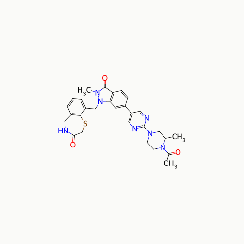 CC(=O)N1CCN(c2ncc(-c3ccc4c(=O)n(C)n(Cc5cccc6c5SCC(=O)NC6)c4c3)cn2)CC1C